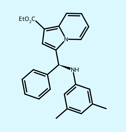 CCOC(=O)c1cc([C@@H](Nc2cc(C)cc(C)c2)c2ccccc2)n2ccccc12